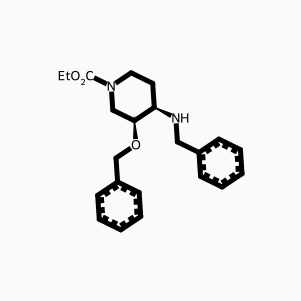 CCOC(=O)N1CC[C@@H](NCc2ccccc2)[C@@H](OCc2ccccc2)C1